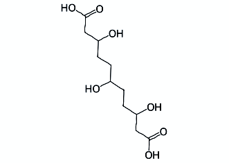 O=C(O)CC(O)CCC(O)CCC(O)CC(=O)O